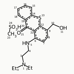 CCN(CC)CCNc1ccc(CO)c2sc3ccccc3c(=O)c12.CS(=O)(=O)O